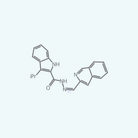 CC(C)c1c(C(=O)N/N=C\c2cc3ccccc3cn2)[nH]c2ccccc12